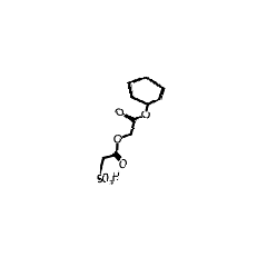 O=C(CS(=O)(=O)O)OCC(=O)OC1CCCCC1